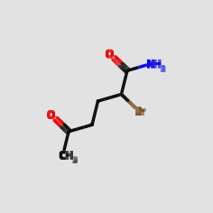 CC(=O)CCC(Br)C(N)=O